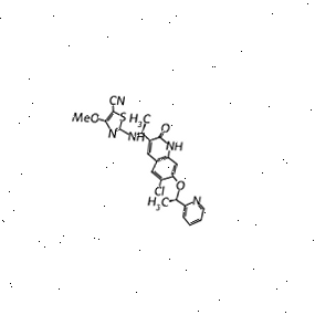 COc1nc(N[C@@H](C)c2cc3cc(Cl)c(O[C@H](C)c4ccccn4)cc3[nH]c2=O)sc1C#N